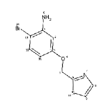 Nc1cc(OCc2nccs2)ccc1Br